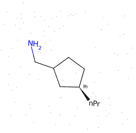 CCC[C@@H]1CCC(CN)C1